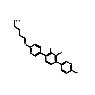 CCCC(C)CCCCOc1ccc(-c2ccc(-c3ccc(C)cc3)c(F)c2F)cc1